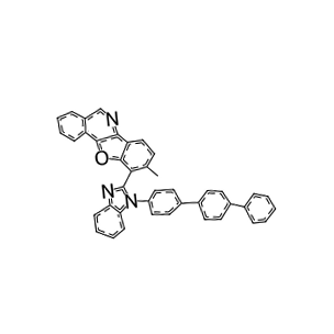 Cc1ccc2c(oc3c4ccccc4cnc23)c1-c1nc2ccccc2n1-c1ccc(-c2ccc(-c3ccccc3)cc2)cc1